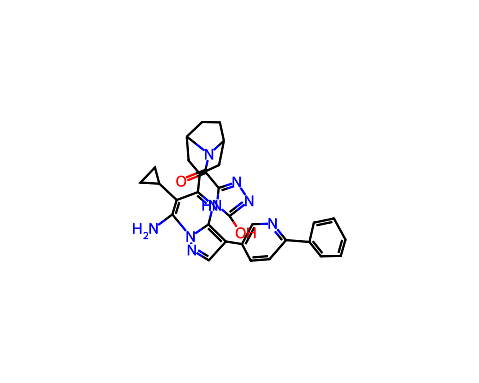 Nc1c(C2CC2)c(C2CC3CCC(C2)N3C(=O)c2nnc(O)[nH]2)nc2c(-c3ccc(-c4ccccc4)nc3)cnn12